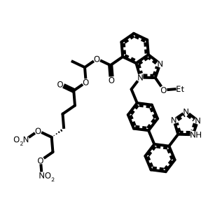 CCOc1nc2cccc(C(=O)OC(C)OC(=O)CCC[C@H](CO[N+](=O)[O-])O[N+](=O)[O-])c2n1Cc1ccc(-c2ccccc2-c2nnn[nH]2)cc1